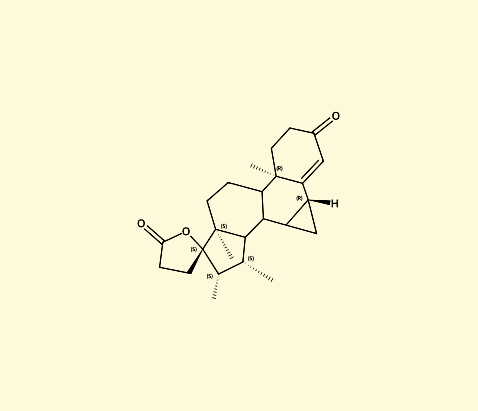 C[C@H]1C2C3C4C[C@H]4C4=CC(=O)CC[C@]4(C)C3CC[C@]2(C)[C@]2(CCC(=O)O2)[C@H]1C